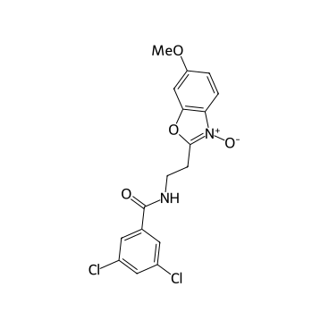 COc1ccc2c(c1)oc(CCNC(=O)c1cc(Cl)cc(Cl)c1)[n+]2[O-]